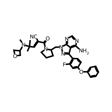 CN(C1COC1)C(C)(C)C=C(C#N)C(=O)N1CCCC1Cn1nc(-c2ccc(Oc3ccccc3)cc2F)c2c(N)ncnc21